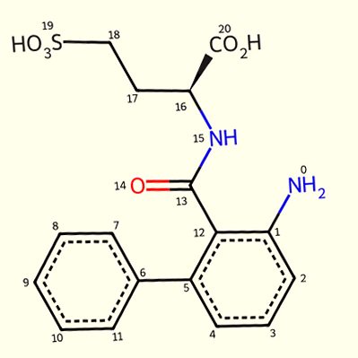 Nc1cccc(-c2ccccc2)c1C(=O)N[C@@H](CCS(=O)(=O)O)C(=O)O